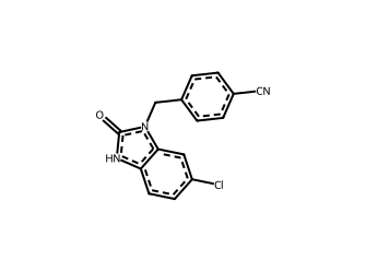 N#Cc1ccc(Cn2c(=O)[nH]c3ccc(Cl)cc32)cc1